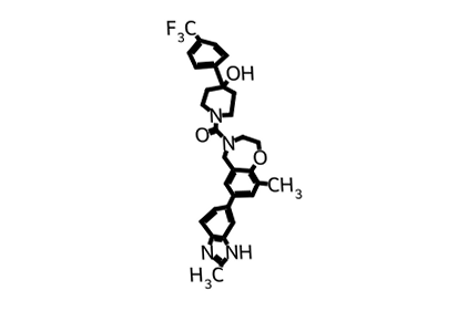 Cc1nc2ccc(-c3cc(C)c4c(c3)CN(C(=O)N3CCC(O)(c5ccc(C(F)(F)F)cc5)CC3)CCO4)cc2[nH]1